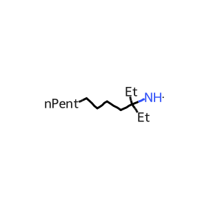 CCCCCCCCCC([NH])(CC)CC